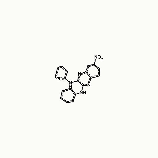 O=[N+]([O-])c1ccc2nc(Nc3ccccc3)c(Nc3ccccc3)nc2c1